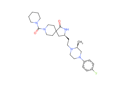 C[C@H]1CN(c2ccc(F)cc2)CCN1CC[C@H]1CC2(CCN(C(=O)N3CCCCC3)CC2)C(=O)N1